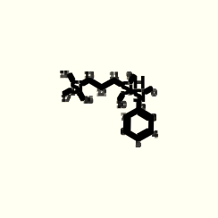 C[SiH](c1ccccc1)[Si](C)(C)CCC[Si](C)(C)C